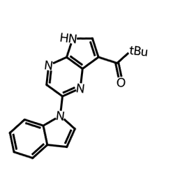 CC(C)(C)C(=O)c1c[nH]c2ncc(-n3ccc4ccccc43)nc12